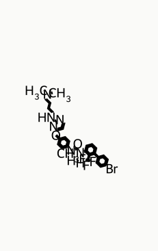 Cc1cc(Oc2ccnc(NCCCCN(C)C)n2)ccc1NC(=O)Nc1cccc(-c2ccc(Br)cc2)c1C(F)(F)F